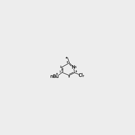 CCCCc1cc(C)nc(Cl)c1